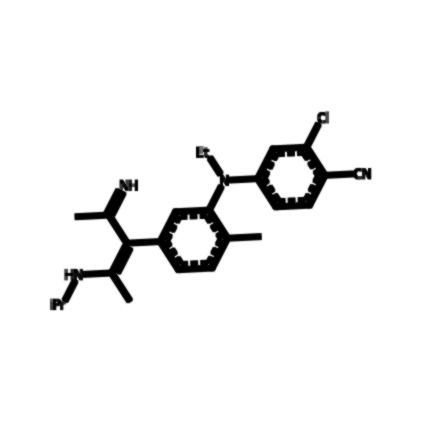 CCN(c1ccc(C#N)c(Cl)c1)c1cc(/C(C(C)=N)=C(\C)NC(C)C)ccc1C